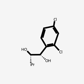 CC(C)[C@H](O)[C@@H](O)c1ccc(Cl)cc1Cl